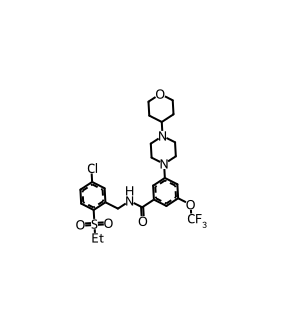 CCS(=O)(=O)c1ccc(Cl)cc1CNC(=O)c1cc(OC(F)(F)F)cc(N2CCN(C3CCOCC3)CC2)c1